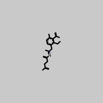 C=C(C)CCC(=C)/N=C(\C)Cc1ccc(C)c(C(=C)C)c1CC